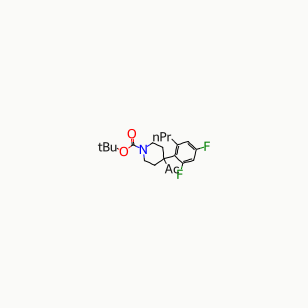 CCCc1cc(F)cc(F)c1C1(C(C)=O)CCN(C(=O)OC(C)(C)C)CC1